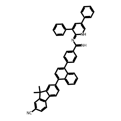 CC1(C)c2cc(C#N)ccc2-c2ccc(-c3ccc(-c4ccc(C(=N)/N=c5\[nH]cc(-c6ccccc6)cc5-c5ccccc5)cc4)c4ccccc34)cc21